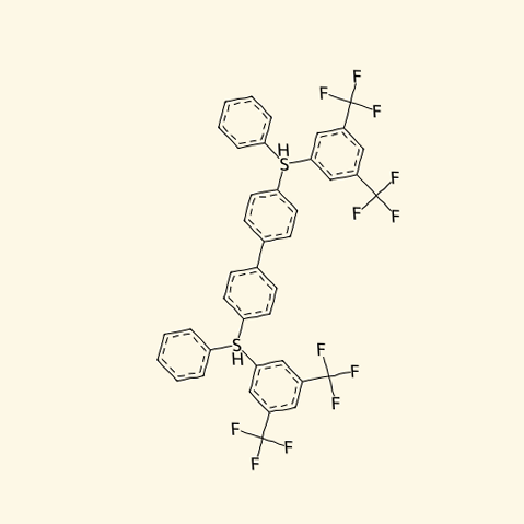 FC(F)(F)c1cc([SH](c2ccccc2)c2ccc(-c3ccc([SH](c4ccccc4)c4cc(C(F)(F)F)cc(C(F)(F)F)c4)cc3)cc2)cc(C(F)(F)F)c1